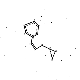 [CH](/C=C\c1ccccc1)C1CC1